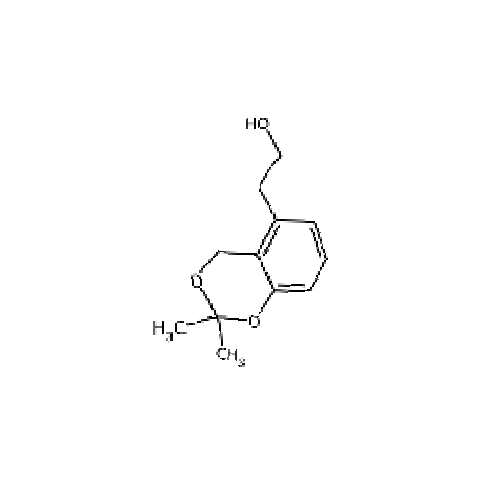 CC1(C)OCc2c(CCO)cccc2O1